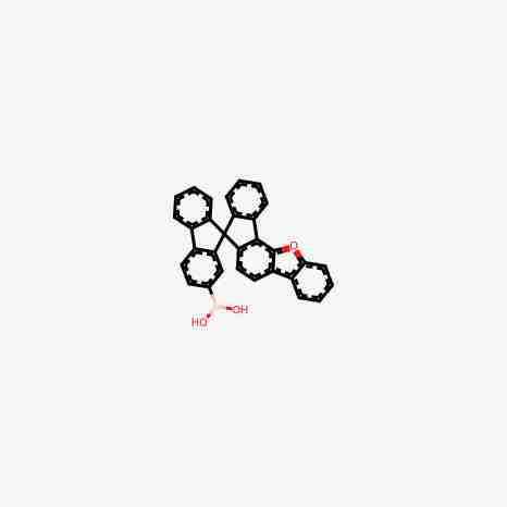 OB(O)c1ccc2c(c1)C1(c3ccccc3-2)c2ccccc2-c2c1ccc1c2oc2ccccc21